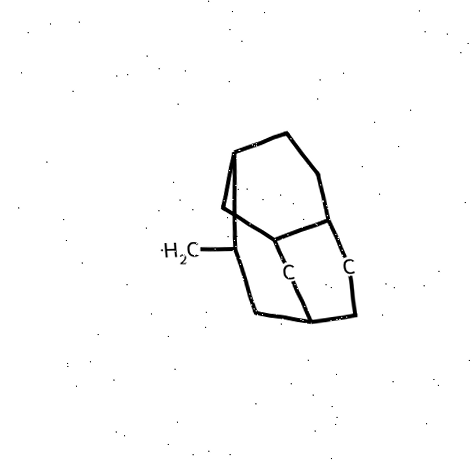 [CH2]C1CC2CCC3CCC1CC3C2